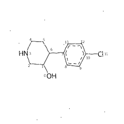 OC1CNCCC1c1ccc(Cl)cc1